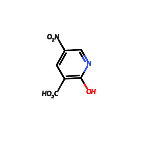 O=C(O)c1cc([N+](=O)[O-])cnc1O